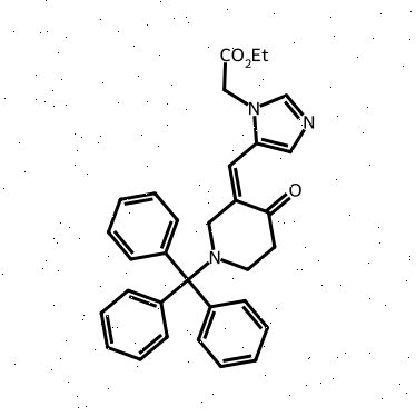 CCOC(=O)Cn1cncc1C=C1CN(C(c2ccccc2)(c2ccccc2)c2ccccc2)CCC1=O